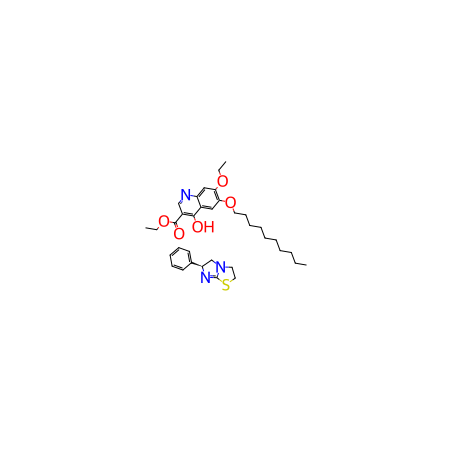 CCCCCCCCCCOc1cc2c(O)c(C(=O)OCC)cnc2cc1OCC.c1ccc([C@H]2CN3CCSC3=N2)cc1